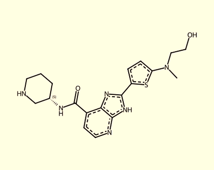 CN(CCO)c1ccc(-c2nc3c(C(=O)N[C@H]4CCCNC4)ccnc3[nH]2)s1